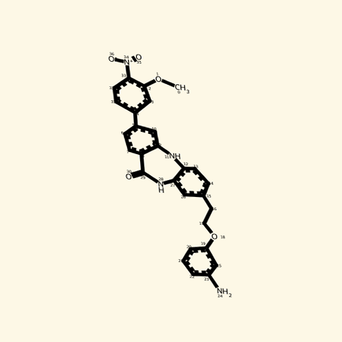 COc1cc(-c2ccc3c(c2)Nc2ccc(CCOc4cccc(N)c4)cc2NC3=O)ccc1[N+](=O)[O-]